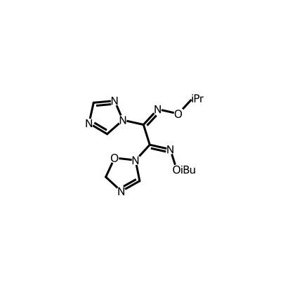 CC(C)CON=C(C(=NOC(C)C)n1cncn1)N1C=NCO1